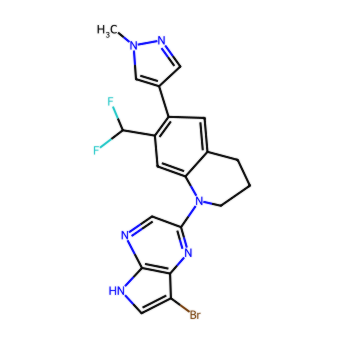 Cn1cc(-c2cc3c(cc2C(F)F)N(c2cnc4[nH]cc(Br)c4n2)CCC3)cn1